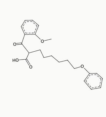 COc1ccccc1C(=O)C(CCCCCCOc1ccccc1)C(=O)O